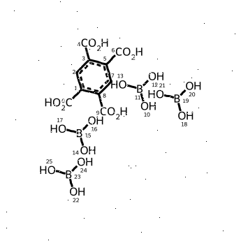 O=C(O)c1cc(C(=O)O)c(C(=O)O)cc1C(=O)O.OB(O)O.OB(O)O.OB(O)O.OB(O)O